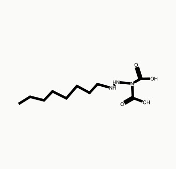 CCCCCCCCNNN(C(=O)O)C(=O)O